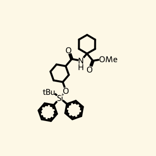 COC(=O)C1(NC(=O)C2CCCC(O[Si](c3ccccc3)(c3ccccc3)C(C)(C)C)C2)CCCCC1